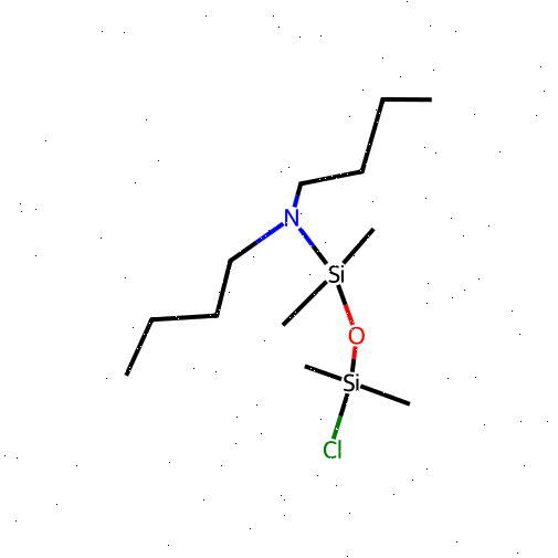 CCCCN(CCCC)[Si](C)(C)O[Si](C)(C)Cl